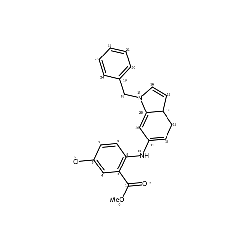 COC(=O)c1cc(Cl)ccc1NC1=CCC2C=CN(Cc3ccccc3)C2=C1